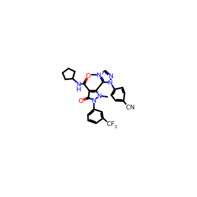 Cn1c(-c2n(-c3ccc(C#N)cc3)nc[n+]2C)c(C(=O)NC2CCCC2)c(=O)n1-c1cccc(C(F)(F)F)c1